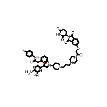 [2H]c1nc(-c2cnn(C3CCN(CCCN4CCN(C(=O)COc5ccc6c(c5)C(=O)N(C5CCC(=O)NC5=O)C6=O)CC4)CC3)c2)c([C@H](C(=O)Nc2ccc(F)cc2)c2ccccc2)nc1N